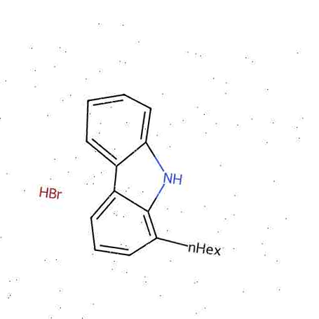 Br.CCCCCCc1cccc2c1[nH]c1ccccc12